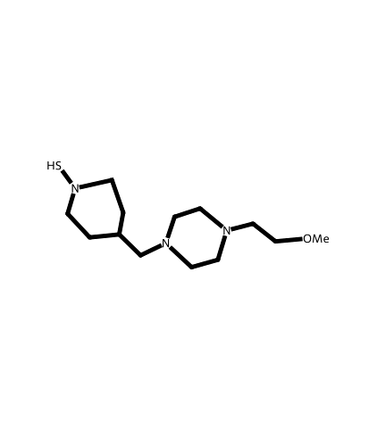 COCCN1CCN(CC2CCN(S)CC2)CC1